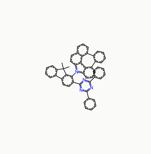 CC1(C)c2ccccc2-c2ccc(-c3nc(-c4ccccc4)nc(-c4ccccc4)n3)c(-n3c4cccc5c4c4c6c(cccc6ccc43)-c3ccccc3-5)c21